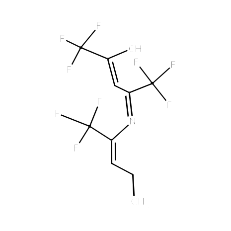 CC\C=C(/N=C(\C=C(/C)C(F)(F)F)C(F)(F)F)C(F)(F)F